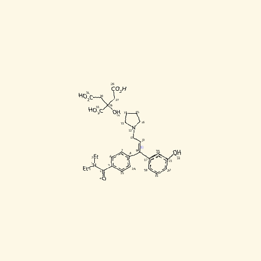 CCN(CC)C(=O)c1ccc(/C(=C\CN2CCCC2)c2cccc(O)c2)cc1.O=C(O)CC(O)(CC(=O)O)C(=O)O